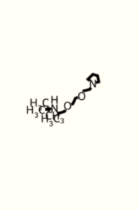 CC(COCCOCCN1CCCC1)NC(C)(C)C